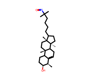 C[C@@H]1C2=CCC3[C@@](C)(CC[C@]4(C)C(CCCCC(C)(C)N=O)CC[C@@]34C)C2CC[C@@H]1O